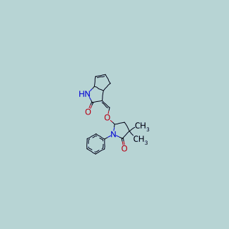 CC1(C)CC(OC=C2C(=O)NC3C=CCC23)N(c2ccccc2)C1=O